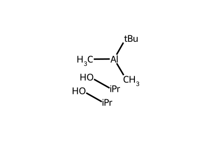 CC(C)O.CC(C)O.[CH3][Al]([CH3])[C](C)(C)C